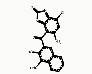 Nc1cc(Cl)c2c(c1C(=O)c1cc3ccccc3c(C=O)c1O)=NC(=O)N=2